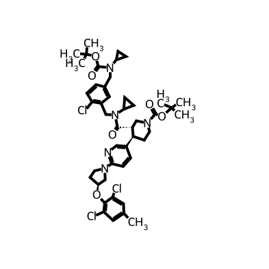 Cc1cc(Cl)c(O[C@H]2CCN(c3ccc([C@@H]4CCN(C(=O)OC(C)(C)C)C[C@H]4C(=O)N(Cc4cc(CN(C(=O)OC(C)(C)C)C5CC5)ccc4Cl)C4CC4)cn3)C2)c(Cl)c1